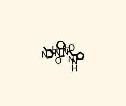 Cc1cc(N2C(=O)CN(C(=O)c3n[nH]c4c3CCC4)[C@H]3CCCC[C@@H]32)ccn1